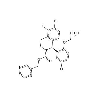 O=C(O)COc1ccc(Cl)cc1[C@@H]1c2ccc(F)c(F)c2CCN1C(=O)OCc1cnccn1